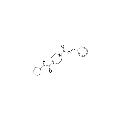 O=C(NC1CCCC1)N1CCN(C(=O)OCc2ccccc2)CC1